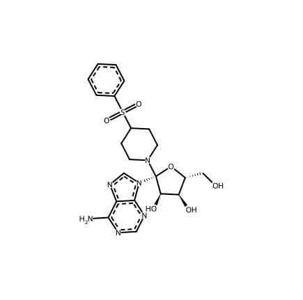 Nc1ncnc2c1ncn2[C@]1(N2CCC(S(=O)(=O)c3ccccc3)CC2)O[C@H](CO)[C@@H](O)[C@H]1O